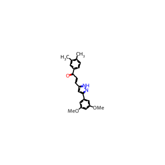 COc1cc(OC)cc(-c2cc(/C=C/C(=O)c3ccc(C)c(C)c3)[nH]n2)c1